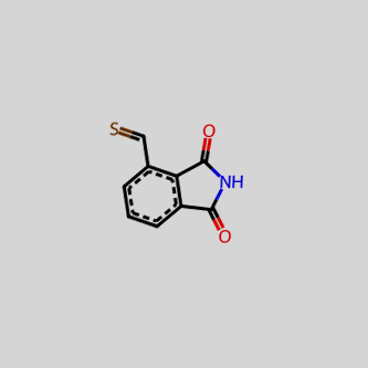 O=C1NC(=O)c2c(C=S)cccc21